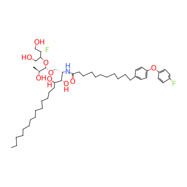 CCCCCCCCCCCCCC[C@@H](O)[C@@H](O)[C@H](CO[C@@H](OC(CO)[C@@H](F)CO)[C@H](C)O)NC(=O)CCCCCCCCCCc1ccc(Oc2ccc(F)cc2)cc1